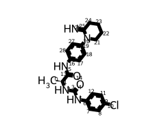 C[C@@H](NC(=O)Nc1ccc(Cl)cc1)C(=O)Nc1ccc(N2CCCCC2=N)cc1